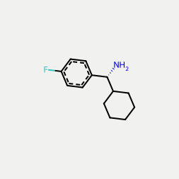 N[C@@H](c1ccc(F)cc1)C1CCCCC1